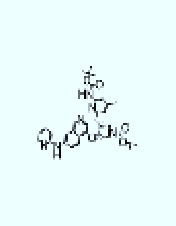 Cc1cc(C[C@@H]2CN(C(=O)OC(C)(C)C)C[C@@H]2Oc2cncc3cc(Nc4ccccn4)ccc23)nc(NC(=O)OC(C)(C)C)c1